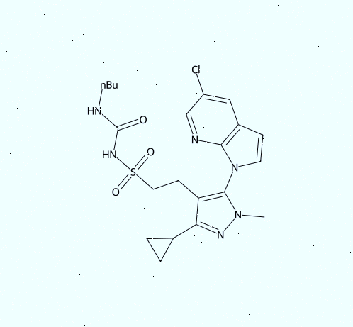 CCCCNC(=O)NS(=O)(=O)CCc1c(C2CC2)nn(C)c1-n1ccc2cc(Cl)cnc21